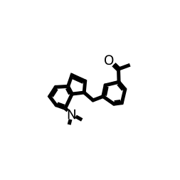 CC(=O)c1cccc(CC2C=Cc3cccc(N(C)C)c32)c1